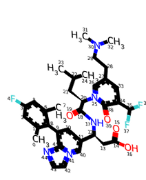 Cc1cc(F)cc(C)c1-c1cc([C@H](CC(=O)O)NC(=O)[C@@H](CC(C)C)n2cc(CCN(C)C)cc(C(F)F)c2=O)cn2ccnc12